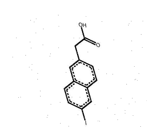 O=C(O)Cc1ccc2cc(I)ccc2c1